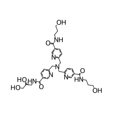 O=C(NCCCO)c1ccc(CN(Cc2ccc(C(=O)NCCCO)cn2)Cc2ccc(C(=O)NC[C@H](O)CO)cn2)nc1